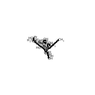 C/C=C/C=C/C=C/C=C/C=C/C=C/[C@@H](C[C@@H]1O[C@](O)(C[C@@H](O)C[C@@H](O)[C@H](O)CC[C@@H](O)C[C@@H](O)CC(=O)O[C@@H](C)[C@H](C)[C@H](O)C(C)C)C[C@H](O)[C@H]1NC(=O)NC[C@H](O)CO)O[C@@H]1O[C@H](C)[C@@H](O)[C@H](NC[C@@]2(O)OC[C@@H](O)[C@H](O)[C@@H]2O)[C@@H]1O